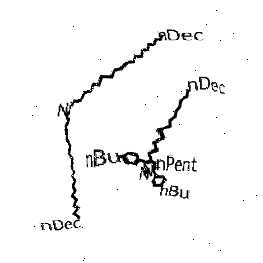 CCCCCCCCCCCCCCCCCCCCCCCC1=C(c2ccc(CCCC)cc2)[N+](=[N-])C(c2ccc(CCCC)cc2)=C1CCCCC.CCCCCCCCCCCCCCCCCCCCCCCCCCCCC[CH2][Ni][CH2]CCCCCCCCCCCCCCCCCCCCCCCCCCCCC